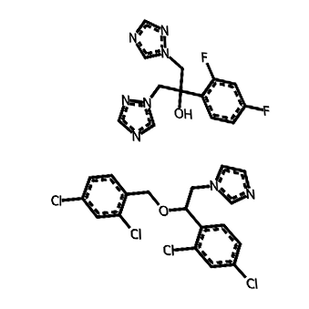 Clc1ccc(COC(Cn2ccnc2)c2ccc(Cl)cc2Cl)c(Cl)c1.OC(Cn1cncn1)(Cn1cncn1)c1ccc(F)cc1F